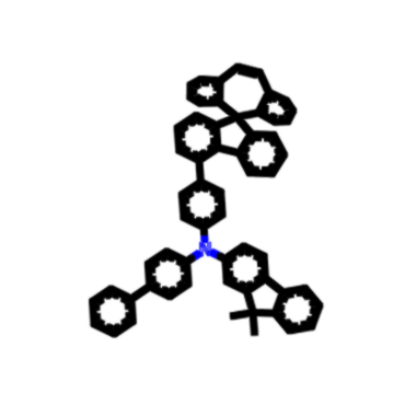 CC1(C)c2ccccc2-c2ccc(N(c3ccc(-c4ccccc4)cc3)c3ccc(-c4cccc5c4-c4ccccc4C54c5ccccc5C=Cc5ccccc54)cc3)cc21